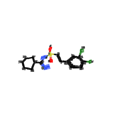 N=C(NS(=O)(=O)C=Cc1ccc(Cl)c(Cl)c1)C1CCCCC1